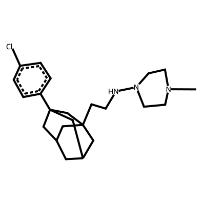 CN1CCN(NCCC23CC4CC(C2)CC(c2ccc(Cl)cc2)(C4)C3)CC1